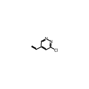 C=Cc1cnnc(Cl)c1